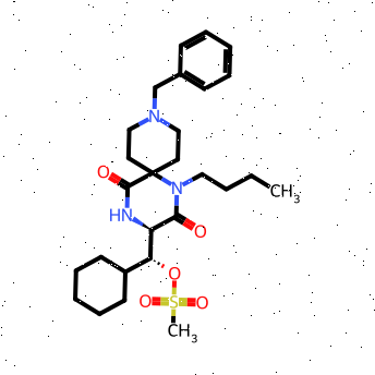 CCCCN1C(=O)[C@@H]([C@H](OS(C)(=O)=O)C2CCCCC2)NC(=O)C12CCN(Cc1ccccc1)CC2